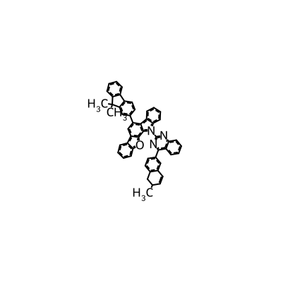 CC1C=Cc2cc(-c3nc(-n4c5ccccc5c5c(-c6ccc7c(c6)C(C)(C)c6ccccc6-7)cc6c7ccccc7oc6c54)nc4ccccc34)ccc2C1